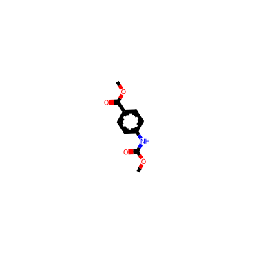 COC(=O)Nc1ccc(C(=O)OC)cc1